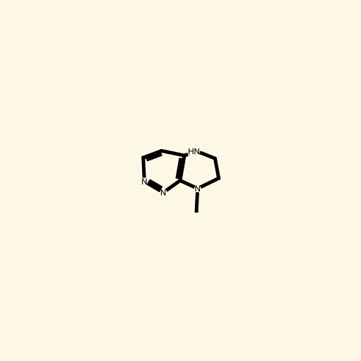 CN1CCNc2ccnnc21